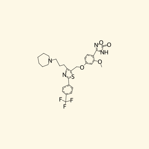 COc1cc(OCc2sc(-c3ccc(C(F)(F)F)cc3)nc2CCCN2CCCCCC2)ccc1-c1noc(=O)[nH]1